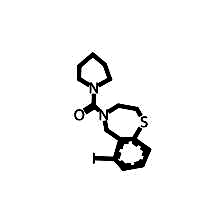 O=C(N1CCCCC1)N1CCSc2cccc(I)c2C1